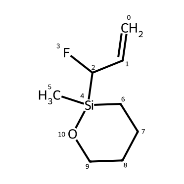 C=CC(F)[Si]1(C)CCCCO1